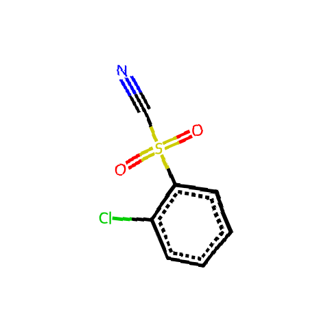 N#CS(=O)(=O)c1ccccc1Cl